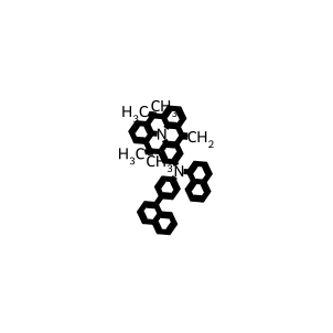 C=C1c2cccc3c2N2c4c1cc(N(c1ccc(-c5cccc6ccccc56)cc1)c1cccc5ccccc15)cc4C(C)(C)c1cccc(c12)C3(C)C